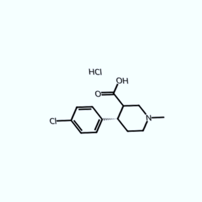 CN1CC[C@H](c2ccc(Cl)cc2)C(C(=O)O)C1.Cl